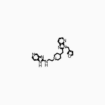 c1cnc2c(c1)nc(CC1CCN(CCNc3nc4cnccc4[nH]3)CC1)n2Cc1ccoc1